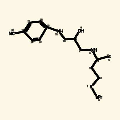 CCCSCCC(CC)NCC(O)CNc1ccc(C#N)cc1